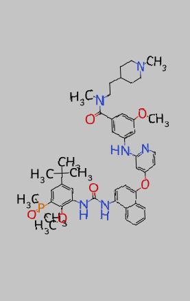 COc1cc(Nc2cc(Oc3ccc(NC(=O)Nc4cc(C(C)(C)C)cc(P(C)(C)=O)c4OC)c4ccccc34)ccn2)cc(C(=O)N(C)CCC2CCN(C)CC2)c1